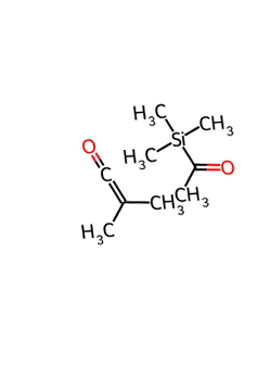 CC(=O)[Si](C)(C)C.CC(C)=C=O